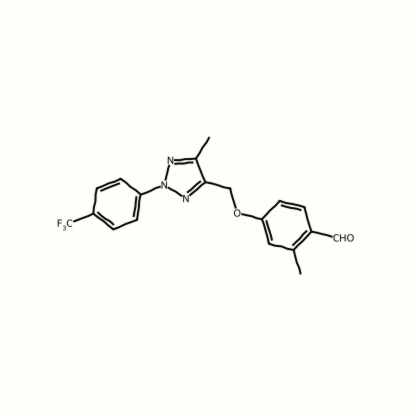 Cc1cc(OCc2nn(-c3ccc(C(F)(F)F)cc3)nc2C)ccc1C=O